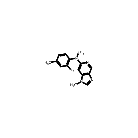 CCc1cc(C)ccc1N(C)c1cc2c(cn1)ncn2C